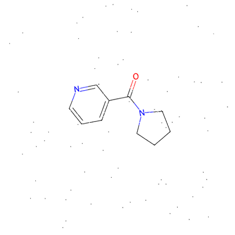 O=C(c1[c]nccc1)N1CCCC1